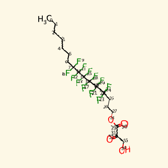 CCCCCCCC(F)(F)C(F)(F)C(F)(F)C(F)(F)C(F)(F)C(F)(F)CCCOC(=O)C(=O)CO